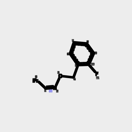 CC(C)/[C]=N\OCc1ccccc1F